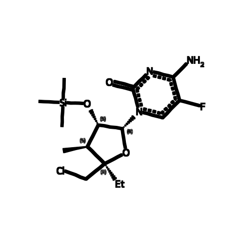 CC[C@@]1(CCl)O[C@@H](n2cc(F)c(N)nc2=O)[C@@H](O[Si](C)(C)C)[C@@H]1C